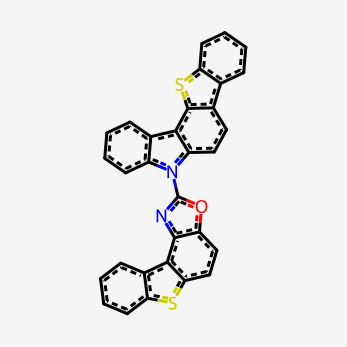 c1ccc2c(c1)sc1c2ccc2c1c1ccccc1n2-c1nc2c(ccc3sc4ccccc4c32)o1